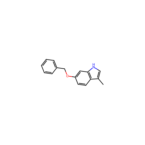 Cc1c[nH]c2cc(OCc3ccccc3)ccc12